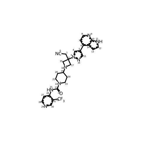 N#CCC1(n2cc(-c3ccnc4[nH]ccc34)cn2)CN(C2CCN(C(=O)Nc3ccncc3C(F)(F)F)CC2)C1